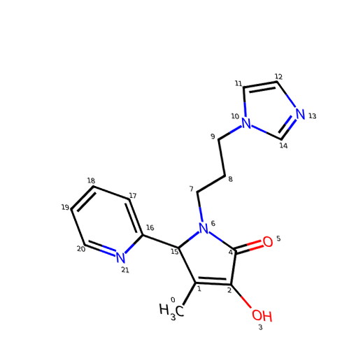 CC1=C(O)C(=O)N(CCCn2ccnc2)C1c1ccccn1